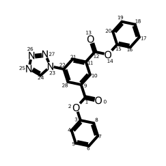 O=C(Oc1ccccc1)c1cc(C(=O)Oc2ccccc2)cc(-n2cnnn2)c1